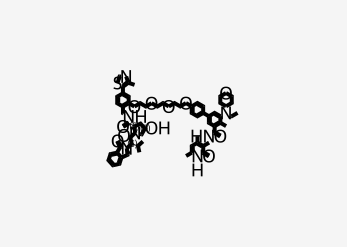 CCN(c1cc(-c2ccc(OCCOCCOCCOc3cc(-c4scnc4C)ccc3CNC(=O)[C@@H]3C[C@@H](O)CN3C(=O)[C@H](C(C)C)N3Cc4ccccc4C3=O)cc2)cc(C(=O)NCc2c(C)cc(C)[nH]c2=O)c1C)C1CCOCC1